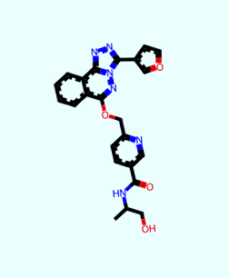 CC(CO)NC(=O)c1ccc(COc2nn3c(-c4ccoc4)nnc3c3ccccc23)nc1